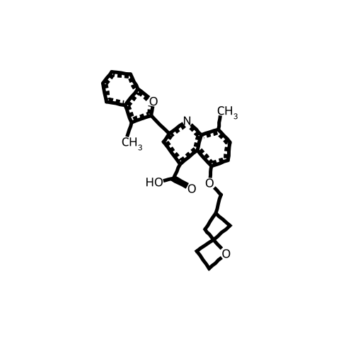 Cc1c(-c2cc(C(=O)O)c3c(OCC4CC5(CCO5)C4)ccc(C)c3n2)oc2ccccc12